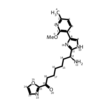 COc1nc(C)ccc1-c1c[nH]c([C@@H](N)CCCCCC(=O)c2ncco2)n1